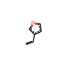 [CH]=Cc1ccoc1